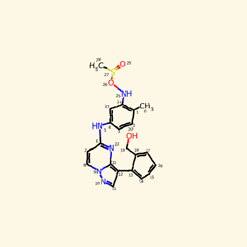 Cc1ccc(Nc2ccn3ncc(-c4ccccc4CO)c3n2)cc1NOS(C)=O